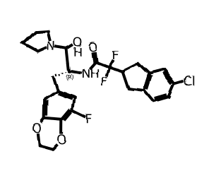 O=C(N[C@H](Cc1cc(F)c2c(c1)OCCO2)C(O)N1CCCC1)C(F)(F)C1Cc2ccc(Cl)cc2C1